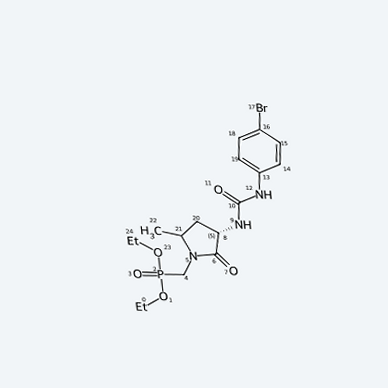 CCOP(=O)(CN1C(=O)[C@@H](NC(=O)Nc2ccc(Br)cc2)CC1C)OCC